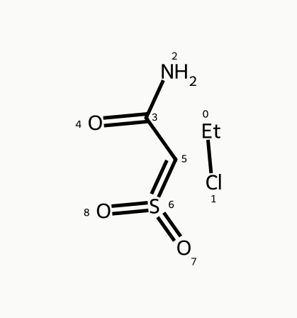 CCCl.NC(=O)C=S(=O)=O